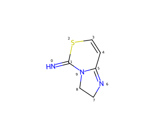 N=C1SC=CC2=NCCN12